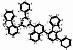 C1=CCCC(c2ccc(-c3ccc(-c4nc(-c5ccccc5)nc(-c5cccc6oc7ccccc7c56)n4)c4ccccc34)c3c2oc2ccccc23)=C1